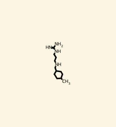 CC1CCC(CNCCCNC(=N)N)CC1